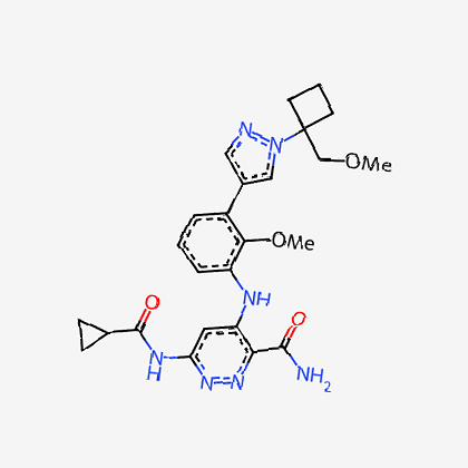 COCC1(n2cc(-c3cccc(Nc4cc(NC(=O)C5CC5)nnc4C(N)=O)c3OC)cn2)CCC1